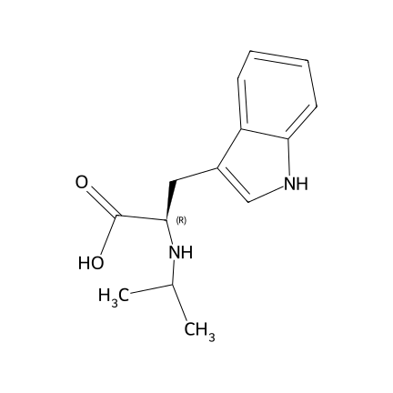 CC(C)N[C@H](Cc1c[nH]c2ccccc12)C(=O)O